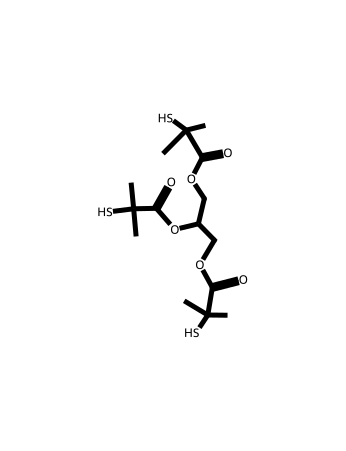 CC(C)(S)C(=O)OCC(COC(=O)C(C)(C)S)OC(=O)C(C)(C)S